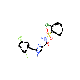 Cn1cc(C(=O)NS(=O)(=O)c2ccccc2Cl)nc1-c1cc(F)ccc1F